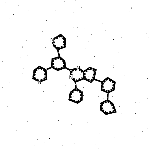 c1ccc(-c2cccc(-c3ccc4nc(-c5cc(-c6cccnc6)cc(-c6cccnc6)c5)nc(-c5ccccc5)c4c3)c2)cc1